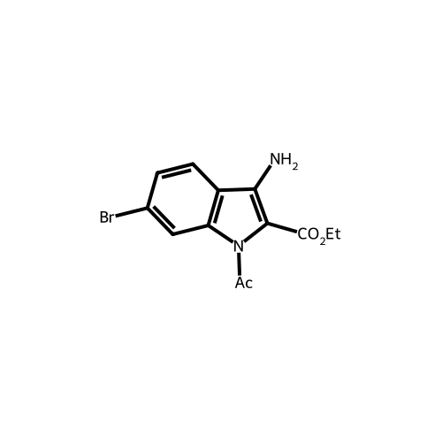 CCOC(=O)c1c(N)c2ccc(Br)cc2n1C(C)=O